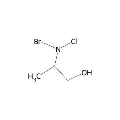 CC(CO)N(Cl)Br